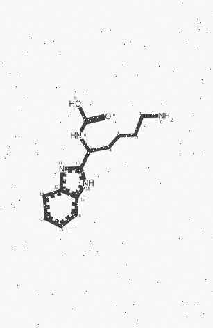 NCCCCC(NC(=O)O)c1nc2ccccc2[nH]1